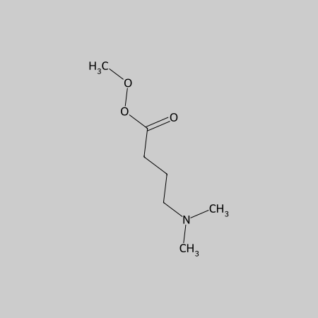 COOC(=O)CCCN(C)C